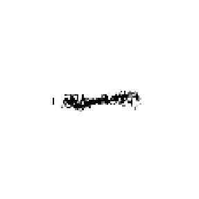 CCOC(Cc1ccc(OCCc2nc(-c3ccc(-c4ccc(-c5nc(CCOc6ccc(CC(OCC)C(=O)OC(C)C)cc6)c(C)o5)cc4)cc3)oc2C)cc1)C(=O)OC(C)C